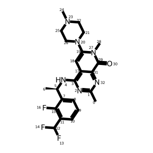 Cc1nc(N[C@H](C)c2cccc(C(F)F)c2F)c2cc(N3CCN(C)CC3)n(C)c(=O)c2n1